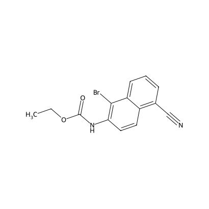 CCOC(=O)Nc1ccc2c(C#N)cccc2c1Br